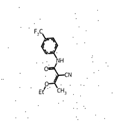 CCO/C(C)=C(/C#N)C(=O)Nc1ccc(C(F)(F)F)cc1